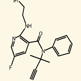 C#CC(C)(C)N(C(=O)c1cc(F)cnc1NCCC(C)C)c1ccccc1